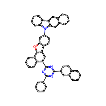 c1ccc(-c2nc(-c3ccc4ccccc4c3)nc(-c3cc4c5ccc(-n6c7ccccc7c7cc8ccccc8cc76)cc5oc4c4ccccc34)n2)cc1